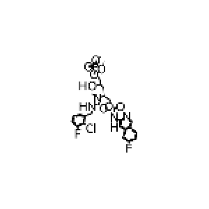 COP(=O)(OC)OCC(O)CC(COC(=O)Nc1cc2cc(F)ccc2cn1)N(C)C(=O)NCc1cccc(F)c1Cl